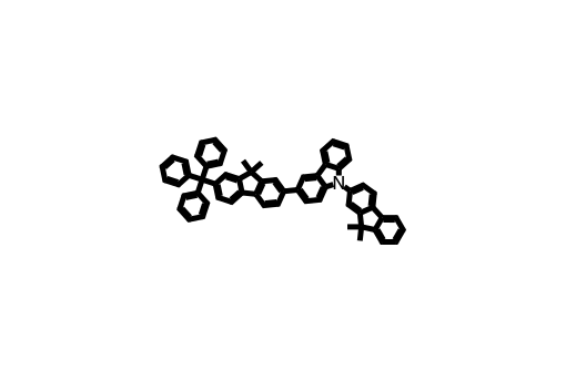 CC1(C)c2ccccc2-c2ccc(-n3c4ccccc4c4cc(-c5ccc6c(c5)C(C)(C)c5cc(C(c7ccccc7)(c7ccccc7)c7ccccc7)ccc5-6)ccc43)cc21